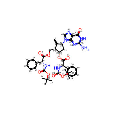 C=C1[C@H](COC(=O)[C@H](NC(=O)OC(C)(C)C)c2ccccc2)[C@@H](OC(=O)C(NC(=O)OC(C)(C)C)c2ccccc2)C[C@@H]1n1cnc2c(=O)[nH]c(N)nc21